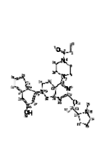 C=CC(=O)N1CCN(c2nc(O[C@@H](C)C3CCCN3C)nc3c2CCN(c2cc(O)cc4ccccc24)C3)CC1